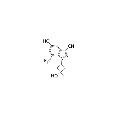 CC1(O)CC(n2nc(C#N)c3cc(O)cc(C(F)(F)F)c32)C1